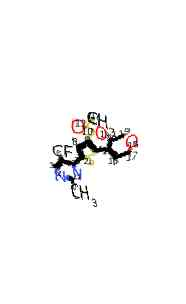 Cc1ncc(C(F)(F)F)c(-c2cc(S(C)(=O)=O)c(C3=CCOCC3)s2)n1